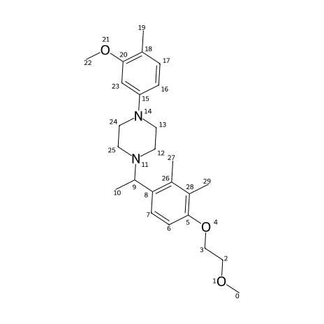 COCCOc1ccc(C(C)N2CCN(c3ccc(C)c(OC)c3)CC2)c(C)c1C